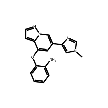 Cn1cnc(-c2cc(Oc3ccccc3N)c3ccnn3c2)c1